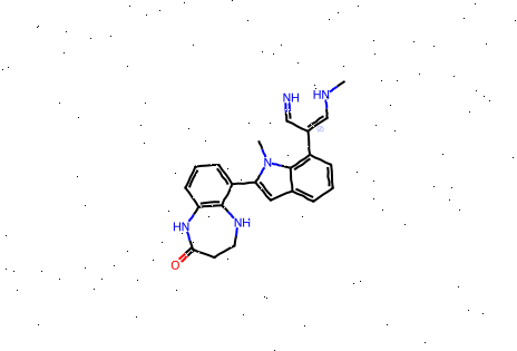 CN/C=C(\C=N)c1cccc2cc(-c3cccc4c3NCCC(=O)N4)n(C)c12